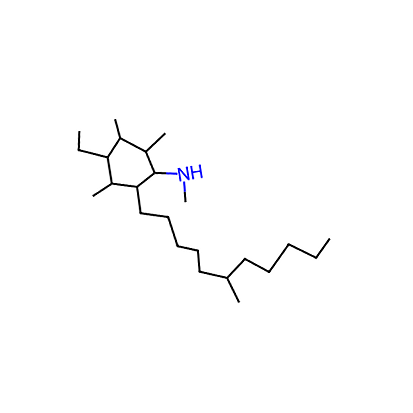 CCCCCC(C)CCCCCC1C(C)C(CC)C(C)C(C)C1NC